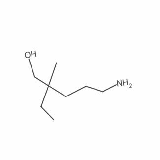 CCC(C)(CO)CCCN